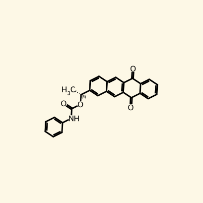 C[C@@H](OC(=O)Nc1ccccc1)c1ccc2cc3c(cc2c1)C(=O)c1ccccc1C3=O